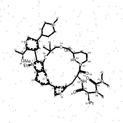 CCn1c(-c2cc(C3CCN(C)CC3)cnc2[C@H](C)OC)c2c3cc(ccc31)-c1csc(n1)C[C@H](NC(=O)[C@H](C(C)C)N(C)C(=O)N(C)C)C(=O)N1CCC[C@](C=O)(COCC(C)(C)C2)N1